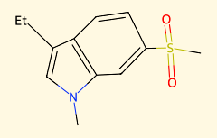 CCc1cn(C)c2cc(S(C)(=O)=O)ccc12